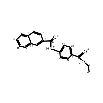 CCOC(=O)c1ccc(NC(=O)c2ccc3ccccc3c2)cc1